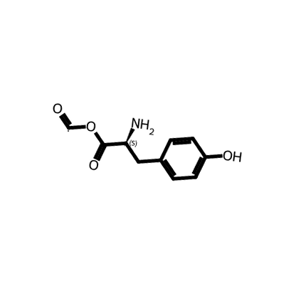 N[C@@H](Cc1ccc(O)cc1)C(=O)O[C]=O